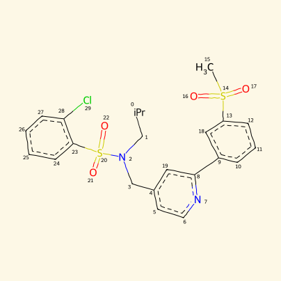 CC(C)CN(Cc1ccnc(-c2cccc(S(C)(=O)=O)c2)c1)S(=O)(=O)c1ccccc1Cl